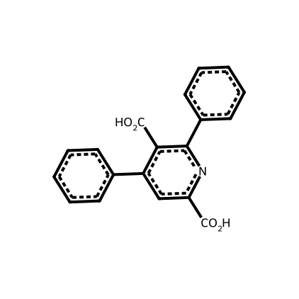 O=C(O)c1cc(-c2ccccc2)c(C(=O)O)c(-c2ccccc2)n1